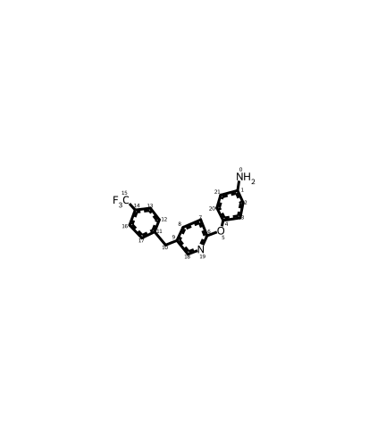 Nc1ccc(Oc2ccc(Cc3ccc(C(F)(F)F)cc3)cn2)cc1